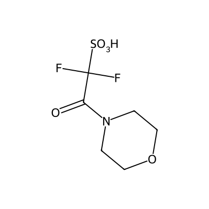 O=C(N1CCOCC1)C(F)(F)S(=O)(=O)O